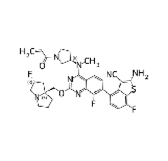 C=CC(=O)N1CC[C@@H](N(C)c2nc(OC[C@@]34CCCN3C[C@H](F)C4)nc3c(F)c(-c4ccc(F)c5sc(N)c(C#N)c45)ccc23)C1